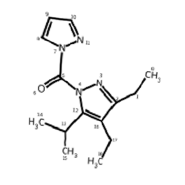 CCc1nn(C(=O)n2cccn2)c(C(C)C)c1CC